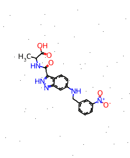 CC(NC(=O)c1[nH]nc2cc(NCc3cccc([N+](=O)[O-])c3)ccc12)C(=O)O